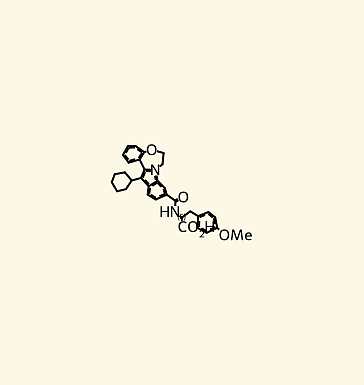 COc1ccc(C[C@H](NC(=O)c2ccc3c(C4CCCCC4)c4n(c3c2)CCOc2ccccc2-4)C(=O)O)cc1